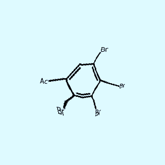 CC(=O)c1cc(Br)c(Br)c(Br)c1Br